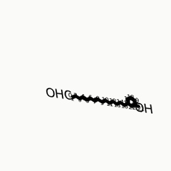 O=CCCC/C=C/C/C=C/CCCCCCCc1cccc(O)c1